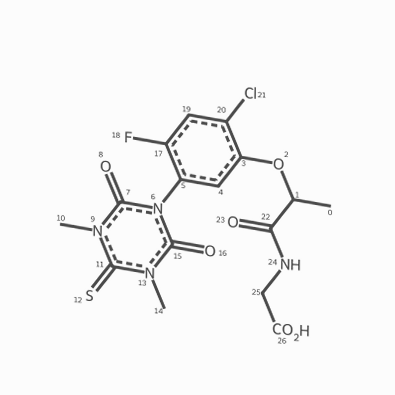 CC(Oc1cc(-n2c(=O)n(C)c(=S)n(C)c2=O)c(F)cc1Cl)C(=O)NCC(=O)O